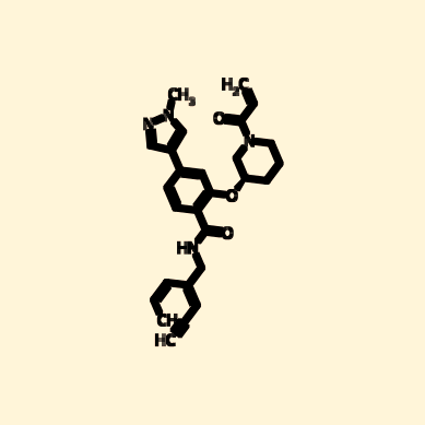 C#C/C=C(\C=C/C)CNC(=O)c1ccc(-c2cnn(C)c2)cc1O[C@@H]1CCCN(C(=O)C=C)C1